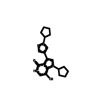 N#Cc1c[nH]c(=O)c2c(-c3cnn(C4CCCC4)c3)cn(C3CCCC3)c12